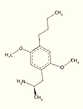 CCCCc1cc(OC)c(C[C@@H](C)N)cc1OC